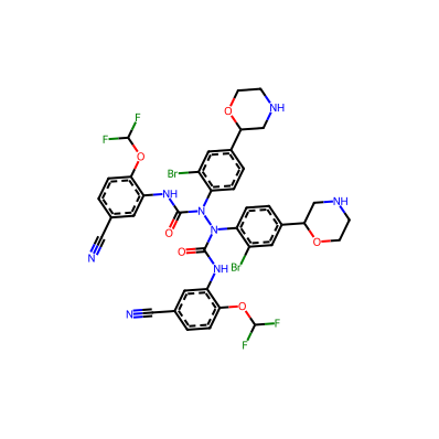 N#Cc1ccc(OC(F)F)c(NC(=O)N(c2ccc(C3CNCCO3)cc2Br)N(C(=O)Nc2cc(C#N)ccc2OC(F)F)c2ccc(C3CNCCO3)cc2Br)c1